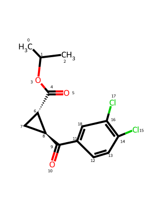 CC(C)OC(=O)[C@H]1C[C@@H]1C(=O)c1ccc(Cl)c(Cl)c1